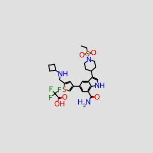 CCS(=O)(=O)N1CCC(c2c[nH]c3c(C(N)=O)cc(-c4csc(CNC5CCC5)c4)cc23)CC1.O=C(O)C(F)(F)F